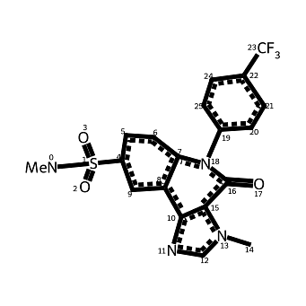 CNS(=O)(=O)c1ccc2c(c1)c1ncn(C)c1c(=O)n2-c1ccc(C(F)(F)F)cc1